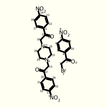 O=C(CBr)c1ccc([N+](=O)[O-])cc1.O=C(CN1CCN(CC(=O)c2ccc([N+](=O)[O-])cc2)CC1)c1ccc([N+](=O)[O-])cc1